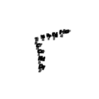 [Cr].[Cu].[Dy].[Gd].[Ho].[Nd].[Ni].[Pr].[Ti]